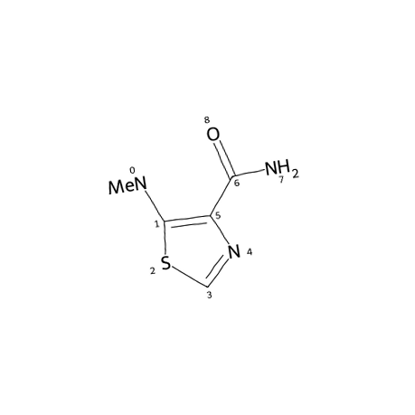 CNc1scnc1C(N)=O